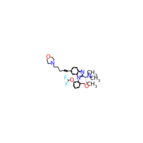 CC[C@H](c1nc2ccc(C#CCCCN3CCOCC3)cc2n1-c1c(C=O)cccc1OC(F)F)N(C)C